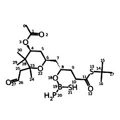 CC(=O)O[C@H]1C[C@@H](C[C@H](CCC(=O)SC(C)(C)C)OB(P)S)OC(C)(CC=O)C1(C)C